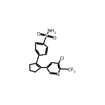 NS(=O)(=O)c1ccc(C2=C(c3cnc(C(F)(F)F)c(Cl)c3)CCC2)cc1